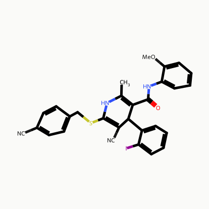 COc1ccccc1NC(=O)C1=C(C)NC(SCc2ccc(C#N)cc2)=C(C#N)C1c1ccccc1I